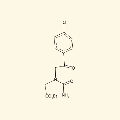 CCOC(=O)CN(CC(=O)c1ccc(Cl)cc1)C(N)=O